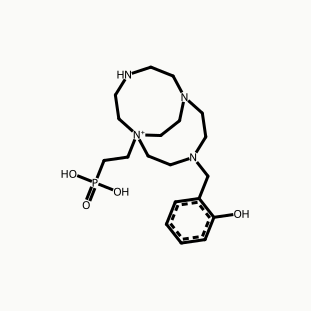 O=P(O)(O)CC[N+]12CCNCCN(CCN(Cc3ccccc3O)CC1)CC2